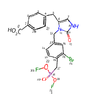 O=C(O)c1ccc(Cc2c[nH]c(=O)n2Cc2ccc(CP(=O)(OF)OF)c(Br)c2)cc1